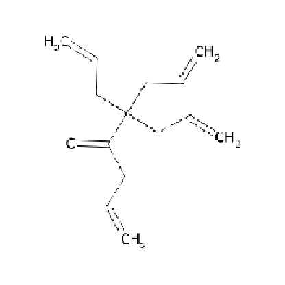 C=CCC(=O)C(CC=C)(CC=C)CC=C